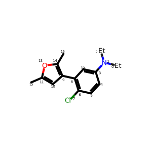 CCN(CC)c1ccc(Cl)c(-c2cc(C)oc2C)c1